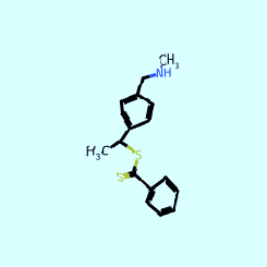 CNCc1ccc(C(C)SC(=S)c2ccccc2)cc1